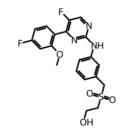 COc1cc(F)ccc1-c1nc(Nc2cccc(CS(=O)(=O)CCO)c2)ncc1F